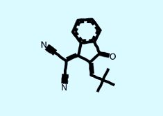 CC(C)(C)/C=C1\C(=O)c2ccccc2C1=C(C#N)C#N